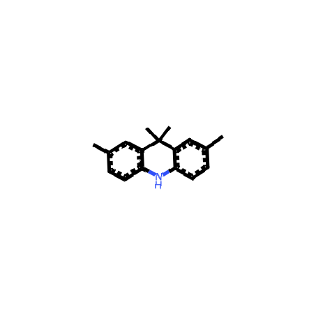 Cc1ccc2c(c1)C(C)(C)c1cc(C)ccc1N2